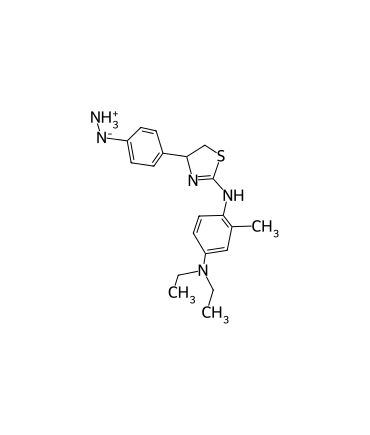 CCN(CC)c1ccc(NC2=NC(c3ccc([N-][NH3+])cc3)CS2)c(C)c1